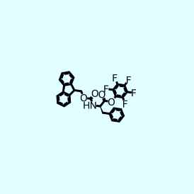 O=C(N[C@H](Cc1ccccc1)C(=O)Oc1c(F)c(F)c(F)c(F)c1F)OCC1c2ccccc2-c2ccccc21